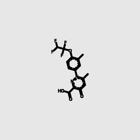 Cc1cc(-n2nc(C(=O)O)c(=O)cc2C)ccc1OC(F)(F)C(F)F